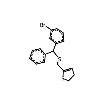 Brc1cccc(C(SCC2=CCCS2)c2ccccc2)c1